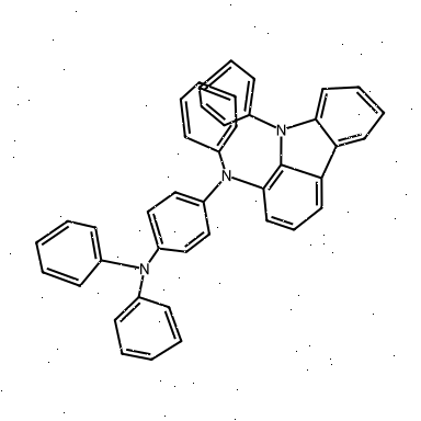 c1ccc(N(c2ccccc2)c2ccc(N(c3ccccc3)c3cccc4c5ccccc5n(-c5ccccc5)c34)cc2)cc1